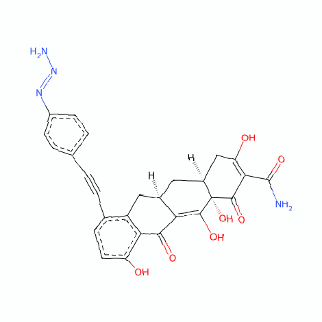 NN=Nc1ccc(C#Cc2ccc(O)c3c2C[C@H]2C[C@H]4CC(O)=C(C(N)=O)C(=O)[C@@]4(O)C(O)=C2C3=O)cc1